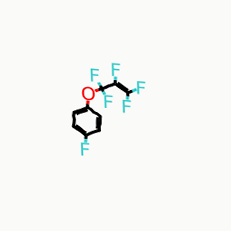 FC(F)=C(F)C(F)(F)Oc1ccc(F)cc1